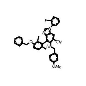 COc1ccc(CNc2c(C#N)cc3c(ncn3-c3ccccc3F)c2-c2c(C)ccc(OCc3ccccc3)c2C)cc1